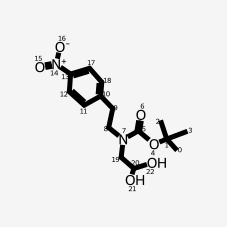 CC(C)(C)OC(=O)N(CCc1ccc([N+](=O)[O-])cc1)CC(O)O